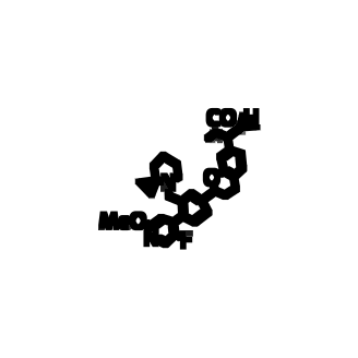 COc1cc(-c2ccc(C3CCc4ccc(C(C5CC5)[C@H](C)C(=O)O)cc4O3)cc2CN2CCCCC23CC3)c(F)cn1